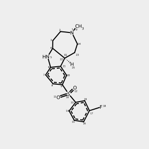 CN1CCC2Nc3ccc(S(=O)(=O)c4cccc(F)c4)cc3[C@@H]2CC1